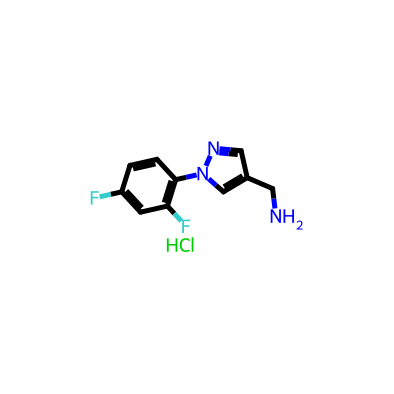 Cl.NCc1cnn(-c2ccc(F)cc2F)c1